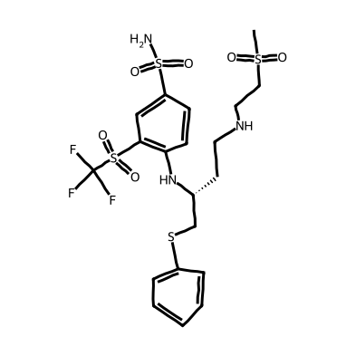 CS(=O)(=O)CCNCC[C@H](CSc1ccccc1)Nc1ccc(S(N)(=O)=O)cc1S(=O)(=O)C(F)(F)F